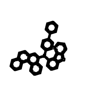 c1ccc(-c2ccc(N(c3cc4ccc5ccccc5c4c4ccccc34)c3cccc4oc5cccnc5c34)cc2)cc1